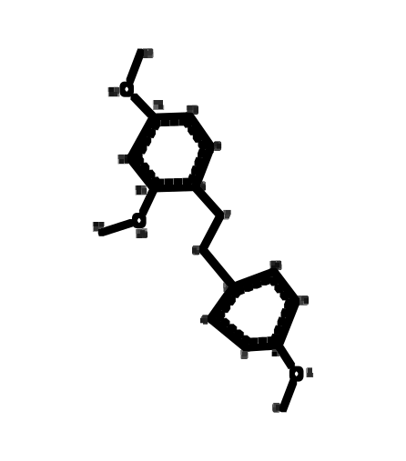 COc1ccc(CCc2[c]cc(OC)cc2OC)cc1